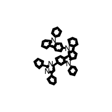 c1ccc(-c2cc(-c3ccc4c5c(ccc6c7ccccc7n(-c7ccc8c9ccccc9n(-c9ccccc9)c8c7)c65)n(-c5ccccc5)c4c3)nc(-c3ccccc3)n2)cc1